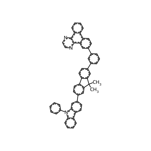 CC1(C)c2cc(-c3cccc(-c4ccc5c6ccccc6c6nccnc6c5c4)c3)ccc2-c2ccc(-c3ccc4c5ccccc5n(-c5ccccc5)c4c3)cc21